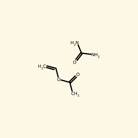 C=COC(C)=O.NC(N)=O